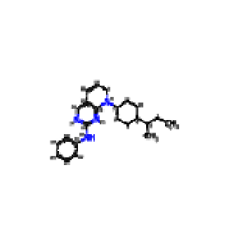 CCC(C)C1CCC(N2CC=Cc3cnc(Nc4ccccc4)nc32)CC1